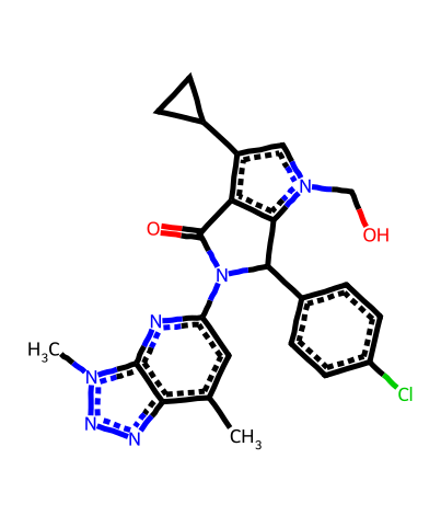 Cc1cc(N2C(=O)c3c(C4CC4)cn(CO)c3C2c2ccc(Cl)cc2)nc2c1nnn2C